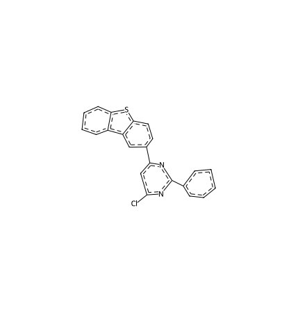 Clc1cc(-c2ccc3sc4ccccc4c3c2)nc(-c2ccccc2)n1